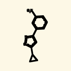 O=[N+]([O-])c1cccc(-c2cc(C3CC3)on2)c1